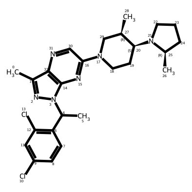 Cc1nn(C(C)c2ccc(Cl)cc2Cl)c2nc(N3CC[C@H](N4CCC[C@H]4C)[C@H](C)C3)cnc12